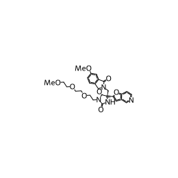 COCCOCCOCCN1C(=O)N[C@@](CN2Cc3ccc(OC)cc3C2=O)(c2cc3cnccc3o2)C1=O